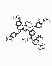 COc1ccc(CN(Cc2ccc(OC)cc2)c2nc(C)nc(-c3cc([C@@H](C)N4CCN(C(=O)O)CC4C)cnc3Nc3cnc(OC)c(F)c3)n2)cc1